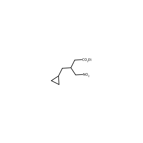 CCOC(=O)CC(CC1CC1)C[N+](=O)[O-]